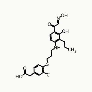 CCCc1c(NCCCSc2ccc(CC(=O)O)cc2Cl)ccc(C(=O)C=NO)c1O